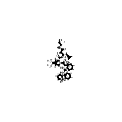 C=CCNC(=O)C(=O)[C@H](CC1CC1)NC(=O)[C@@H]1[C@@H]2[C@H](CN1C(=O)[C@@H](NC(=O)NC1([C@@H]3CCCS3(=O)=O)CCCCC1)C1(C)CCCCC1)C2(C)C